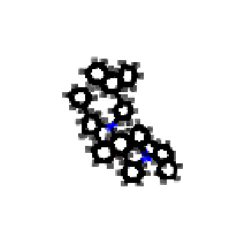 C1=Cc2c(ccc3c4ccccc4n(-c4ccccc4-c4ccc(N(c5cccc(-c6cc7ccccc7c7ccccc67)c5)c5cc(-c6ccccc6)ccc5-c5ccccc5)cc4)c23)CC1